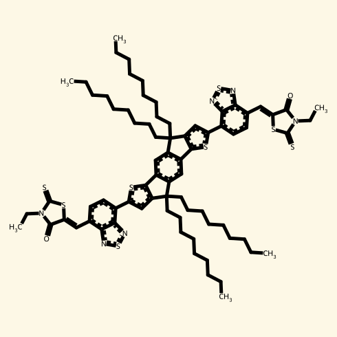 CCCCCCCCCC1(CCCCCCCCC)c2cc3c(cc2-c2sc(-c4ccc(/C=C5\SC(=S)N(CC)C5=O)c5nsnc45)cc21)C(CCCCCCCCC)(CCCCCCCCC)c1cc(-c2ccc(/C=C4\SC(=S)N(CC)C4=O)c4nsnc24)sc1-3